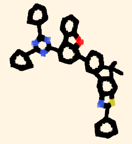 CC1(C)c2ccc(-c3ccc(-c4nc(-c5ccccc5)nc(-c5ccccc5)n4)c4c3oc3ccccc34)cc2-c2cc3nc(-c4ccccc4)sc3cc21